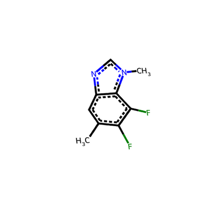 Cc1cc2ncn(C)c2c(F)c1F